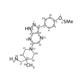 CSOc1ccc(-c2n[nH]c3nc(N4CCC(C)(CN)CC4)cnc23)cc1